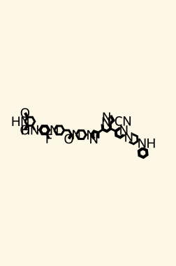 N#Cc1cnn2cc(-c3cnn(C4CCN(C(=O)CC5CCN(c6ccc(NC7CCC(=O)NC7=O)cc6F)CC5)CC4)c3)cc(-c3ccc(N4CCC(Nc5ccccc5)CC4)nc3)c12